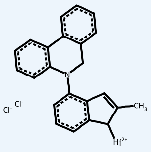 CC1=Cc2c(cccc2N2Cc3ccccc3-c3ccccc32)[CH]1[Hf+2].[Cl-].[Cl-]